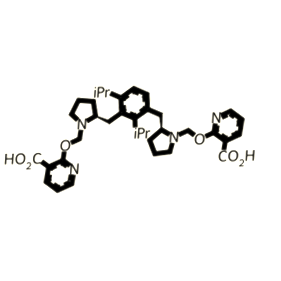 CC(C)c1ccc(C[C@@H]2CCCN2COc2ncccc2C(=O)O)c(C(C)C)c1C[C@@H]1CCCN1COc1ncccc1C(=O)O